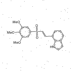 COc1cc(S(=O)(=O)/C=C/c2cccc3cc[nH]c23)cc(OC)c1OC